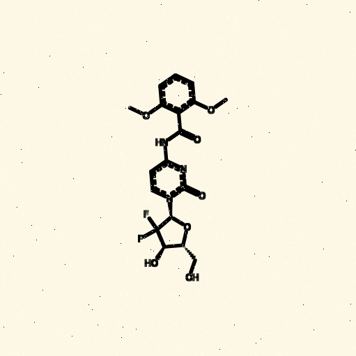 COc1cccc(OC)c1C(=O)Nc1ccn([C@H]2O[C@H](CO)[C@@H](O)C2(F)F)c(=O)n1